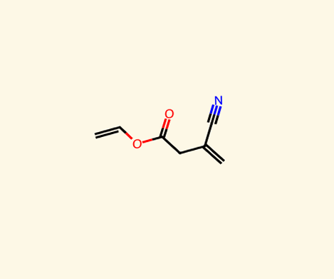 C=COC(=O)CC(=C)C#N